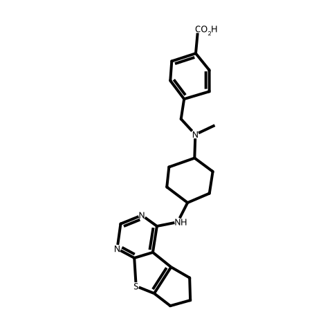 CN(Cc1ccc(C(=O)O)cc1)C1CCC(Nc2ncnc3sc4c(c23)CCC4)CC1